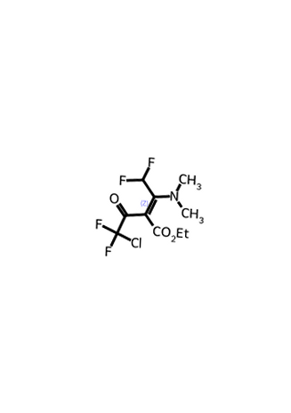 CCOC(=O)/C(C(=O)C(F)(F)Cl)=C(/C(F)F)N(C)C